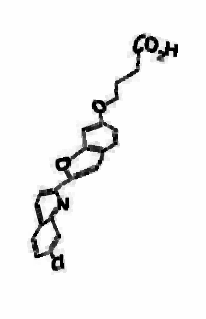 O=C(O)CCCOc1ccc2cc(-c3ccc4ccc(Cl)cc4n3)oc2c1